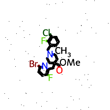 COC(=O)C1(Cc2nc(Br)ccc2F)CCN(Cc2cccc(Cl)c2F)C(C)C1